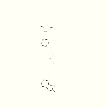 Cl.Cl.O=C1NC(=O)C(Cc2ccc(N3CCC(NC[C@H](O)COc4cccc5[nH]c(=O)[nH]c45)CC3)cc2)S1